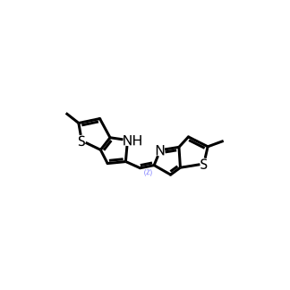 Cc1cc2c(s1)=C/C(=C/c1cc3sc(C)cc3[nH]1)N=2